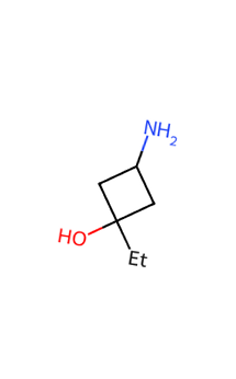 CCC1(O)CC(N)C1